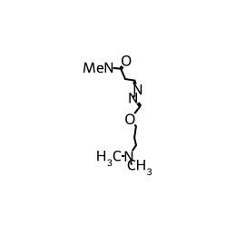 CNC(=O)C/C=N\N=C\OCCCN(C)C